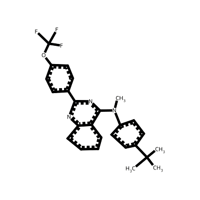 CN(c1ccc(C(C)(C)C)cc1)c1nc(-c2ccc(OC(F)(F)F)cc2)nc2ccccc12